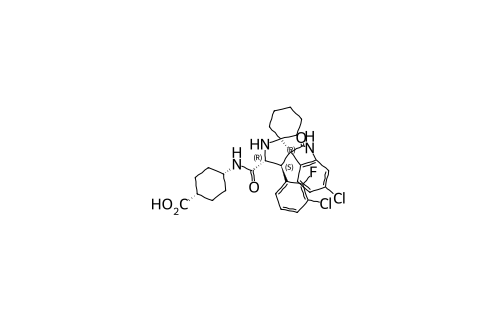 O=C(N[C@H]1CC[C@@H](C(=O)O)CC1)[C@@H]1NC2(CCCCC2)[C@@]2(C(=O)Nc3cc(Cl)ccc32)[C@H]1c1cccc(Cl)c1F